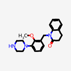 COc1c(CN2C(=O)CCc3ccccc32)cccc1N1CCNCC1